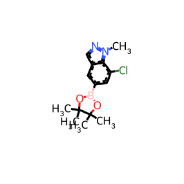 Cn1ncc2cc(B3OC(C)(C)C(C)(C)O3)cc(Cl)c21